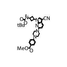 COC(=O)c1ccc(N2CCN(c3ccc4c(C#N)cn(C5CC(N(C)C(=O)OC(C)(C)C)C5)c4n3)CC2)cc1